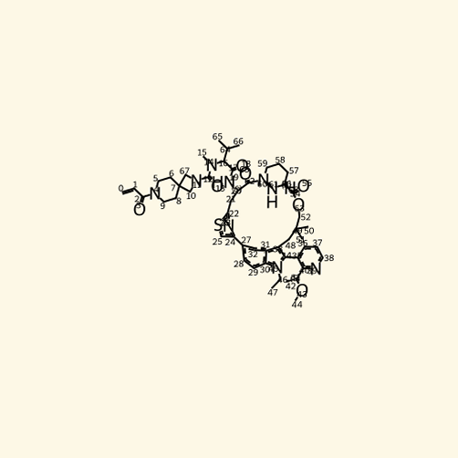 C=CC(=O)N1CCC2(CC1)CN(C(=O)N(C)C(C(=O)N[C@H]1Cc3nc(cs3)-c3ccc4c(c3)c(c(-c3cccnc3[C@H](C)OC)n4CC)CC(C)(C)COC(=O)[C@@H]3CCCN(N3)C1=O)C(C)C)C2